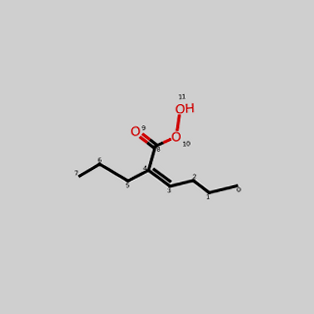 CCCC=C(CCC)C(=O)OO